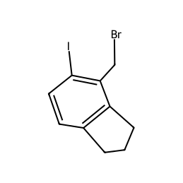 BrCc1c(I)ccc2c1CCC2